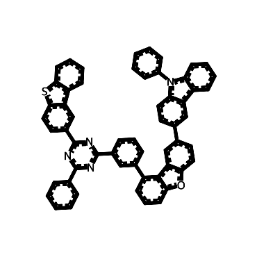 c1ccc(-c2nc(-c3cccc(-c4cccc5oc6ccc(-c7ccc8c(c7)c7ccccc7n8-c7ccccc7)cc6c45)c3)nc(-c3ccc4sc5ccccc5c4c3)n2)cc1